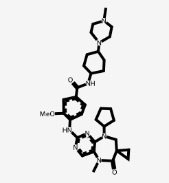 COc1cc(C(=O)NC2CCC(N3CCN(C)CC3)CC2)ccc1Nc1ncc2c(n1)N(C1CCCC1)CC1(CC1)C(=O)N2C